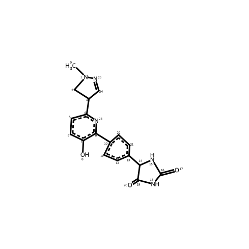 CN1CC(c2ccc(O)c(-c3ccc(C4NC(=O)NC4=O)cc3)n2)C=N1